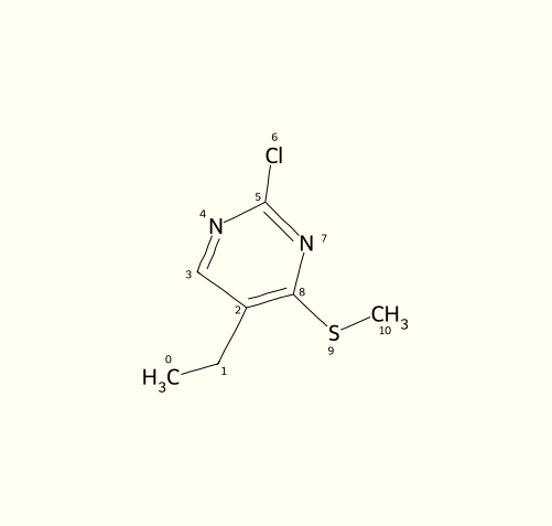 CCc1cnc(Cl)nc1SC